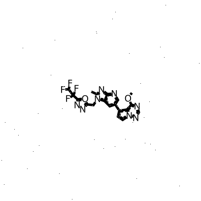 COc1ncnn2ccc(-c3cnc4nc(C)n(Cc5nnc(C(F)(F)C(F)F)o5)c4c3)c12